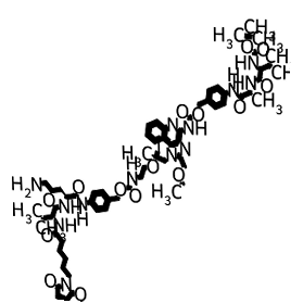 CCOCc1nc2c(NC(=O)OCc3ccc(NC(=O)[C@H](C)NC(=O)[C@@H](NC(=O)OC(C)(C)C)C(C)C)cc3)nc3ccccc3c2n1C[C@](C)(I)OCCNC(=O)OCc1ccc(NC(=O)[C@H](CCCN)NC(=O)C(NC(=O)CCCCCN2C(=O)C=CC2=O)C(C)C)cc1